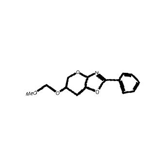 COCOC1COC2N=C(c3ccccc3)OC2C1